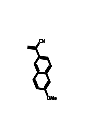 C=C(C#N)c1ccc2cc(OC)ccc2c1